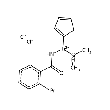 CC(C)c1ccccc1C(=O)[NH][Ti+2]([C]1=CC=CC1)[SiH](C)C.[Cl-].[Cl-]